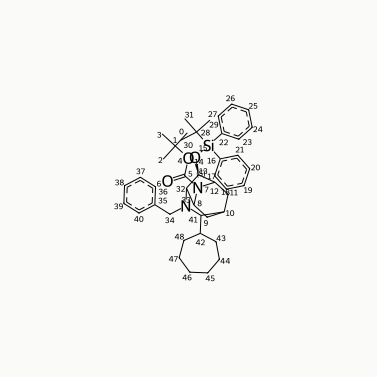 CC(C)(C)OC(=O)N1C2CC3CC1[C@H](O[Si](c1ccccc1)(c1ccccc1)C(C)(C)C)C2N(Cc1ccccc1)C3C1CCCCCC1